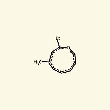 CCc1cc(C)ccccco1